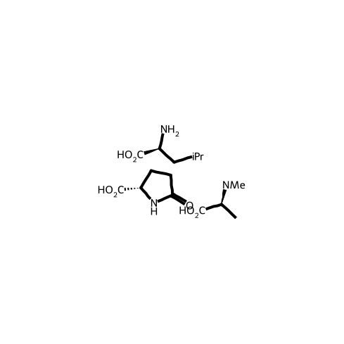 CC(C)C[C@H](N)C(=O)O.CN[C@@H](C)C(=O)O.O=C1CC[C@@H](C(=O)O)N1